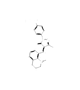 CC1=NN(c2ccc(S(=O)(=O)O)cc2)C(=O)C1=Cc1cccc2c1N(C)CCC2